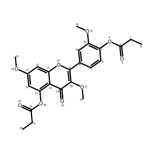 CCC(=O)Oc1ccc(-c2oc3cc(OC)cc(OC(=O)CC)c3c(=O)c2OC)cc1OC